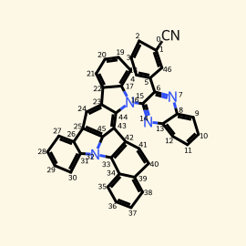 N#Cc1cccc(-c2nc3ccccc3nc2-n2c3ccccc3c3cc4c5ccccc5n5c6c7ccccc7ccc6c(c32)c45)c1